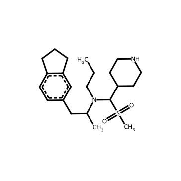 CCCN(C(C)Cc1ccc2c(c1)CCC2)C(C1CCNCC1)S(C)(=O)=O